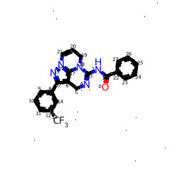 O=C(NC1=NCc2c(-c3cccc(C(F)(F)F)c3)nn3c2N1CC=C3)c1ccccc1